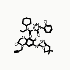 C#CCN1C(=O)COc2cc(F)c(/N=c3\snc4n3CC(C)(C)C4)cc21.CCN(C(=O)n1nnn(-c2ccccc2Cl)c1=O)C1CCCCC1